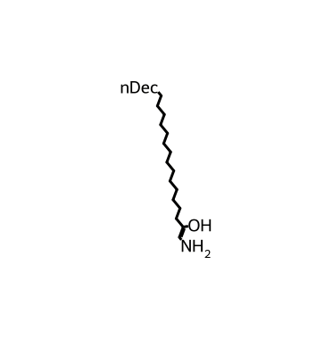 CCCCCCCCCCCCCCCCCCCCCCCCC(O)=CN